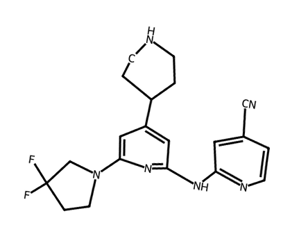 N#Cc1ccnc(Nc2cc(C3CCNCC3)cc(N3CCC(F)(F)C3)n2)c1